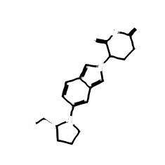 O=C1CCC(n2cc3ccc(N4CCC[C@H]4CO)cc3c2)C(=O)N1